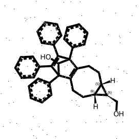 OC[C@@H]1[C@H]2CCC3=C(CC[C@@H]12)C1(c2ccccc2)C(c2ccccc2)=C(c2ccccc2)C3(c2ccccc2)C1O